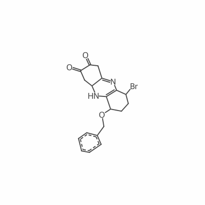 O=C1CC2=NC3=C(NC2CC1=O)C(OCc1ccccc1)CCC3Br